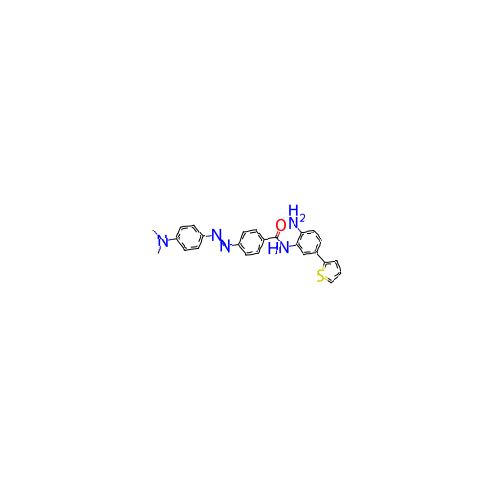 CN(C)c1ccc(N=Nc2ccc(C(=O)Nc3cc(-c4cccs4)ccc3N)cc2)cc1